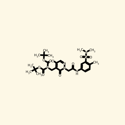 Cc1ccc(NC(=O)Cn2ncc(Cl)c(CN(C(=O)OC(C)(C)C)C(=O)OC(C)(C)C)c2=O)cc1S(=O)(=O)N(C)C